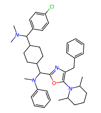 CC1CCCC(C)N1c1oc(C(C2CCC(C(c3ccc(Cl)cc3)N(C)C)CC2)N(C)c2ccccc2)nc1Cc1ccccc1